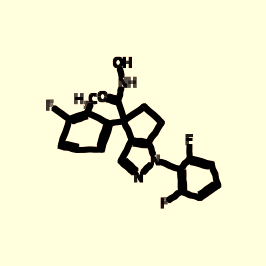 Cc1c(F)cccc1C1(C(=O)NO)CCc2c1cnn2-c1c(F)cccc1F